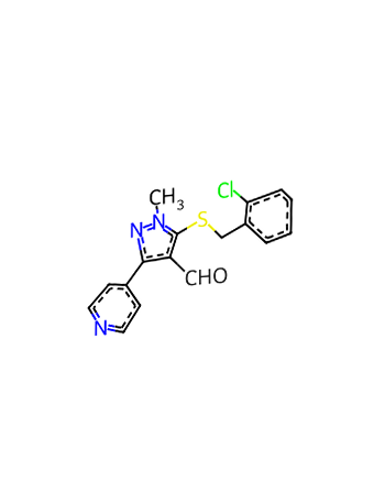 Cn1nc(-c2ccncc2)c(C=O)c1SCc1ccccc1Cl